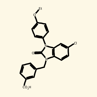 CCOc1ccc(-n2c(=O)n(Cc3cccc(C(=O)O)c3)c3ccc(Cl)cc32)cc1